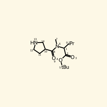 CC(C)C(C(=O)OC(C)(C)C)N(C)C(=O)C1CCNC1